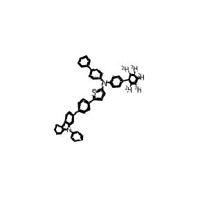 [2H]c1c([2H])c([2H])c(-c2ccc(N(c3ccc(-c4ccccc4)cc3)c3ccc(-c4ccc(-c5ccc6c7ccccc7n(-c7ccccc7)c6c5)cc4)s3)cc2)c([2H])c1[2H]